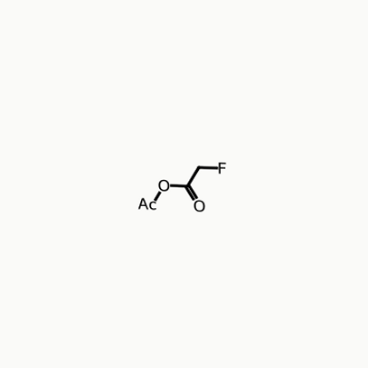 CC(=O)OC(=O)CF